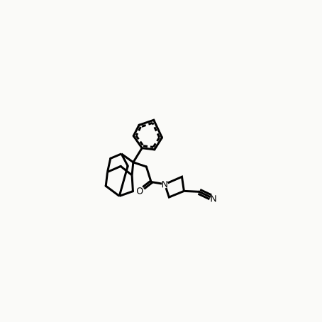 N#CC1CN(C(=O)CC2(c3ccccc3)C3CC4CC(C3)CC2C4)C1